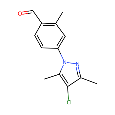 Cc1cc(-n2nc(C)c(Cl)c2C)ccc1C=O